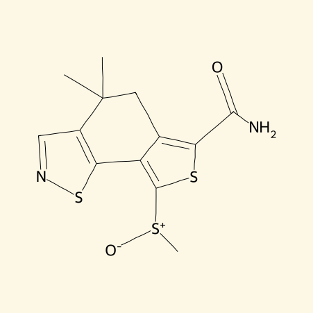 C[S+]([O-])c1sc(C(N)=O)c2c1-c1sncc1C(C)(C)C2